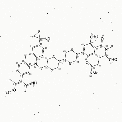 CCO/C(C)=C(\C(C)=N)c1ccc(C)c(N(CC2CCN(C3CCN(c4ccc(C(=O)N(C)C(C=O)CCC(=O)NC)c(C=O)c4)CC3)CC2)c2ccc(C3(C#N)CC3)cc2)c1